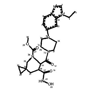 CCn1cnc2ccc(N3CCN(C(=O)C4C(C(=O)NO)CC5(CC5)CN4C(=O)OC)CC3)cc21